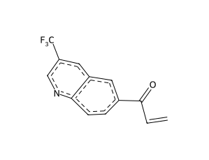 C=CC(=O)c1ccc2ncc(C(F)(F)F)cc2c1